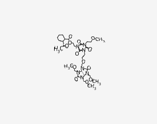 COCCn1c(=O)n(CCOCN2C(=O)N(COC)C3C2N(COC)C(=O)N3COC)c(=O)n(CCOC(=O)C2CCCCC2C(C)=O)c1=O